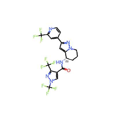 O=C(N[C@H]1CCCn2nc(-c3ccnc(C(F)(F)F)c3)cc21)c1cn(C(F)(F)F)nc1C(F)(F)F